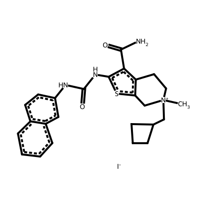 C[N+]1(CC2CCC2)CCc2c(sc(NC(=O)Nc3ccc4ccccc4c3)c2C(N)=O)C1.[I-]